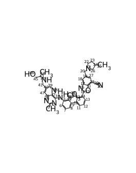 Cc1nc(Nc2cccc(-c3cccc(-c4nc5cc(CN6CC[C@@H](C)C6)cc(C#N)c5o4)c3C)c2C)c2ncc(CN[C@@H](C)CO)cc2n1